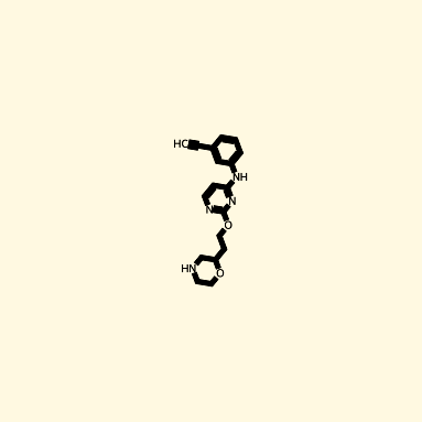 C#Cc1cccc(Nc2ccnc(OCCC3CNCCO3)n2)c1